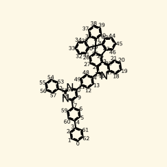 c1ccc(-c2ccc(-c3cc(-c4ccc(-c5nc6ccccc6c6c7c(ccc56)C5(c6ccccc6-c6ccccc65)c5ccccc5-7)cc4)nc(-c4ccccc4)n3)cc2)cc1